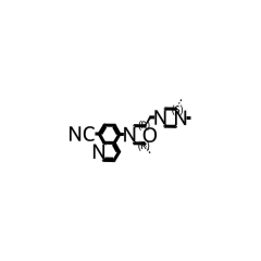 C[C@@H]1CN(c2ccc(C#N)c3ncccc23)C[C@@H](CN2CCN(C)[C@@H](C)C2)O1